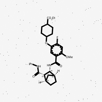 CCOC(=O)C1CCC(Oc2cc(C(=O)N[C@@H]3[C@H]4CC[C@H](C4)[C@@H]3C(=O)NC(C)C)c(OC)cc2F)CC1